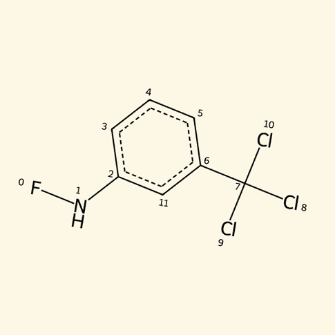 FNc1cccc(C(Cl)(Cl)Cl)c1